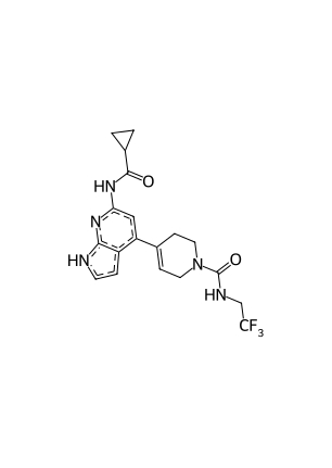 O=C(Nc1cc(C2=CCN(C(=O)NCC(F)(F)F)CC2)c2cc[nH]c2n1)C1CC1